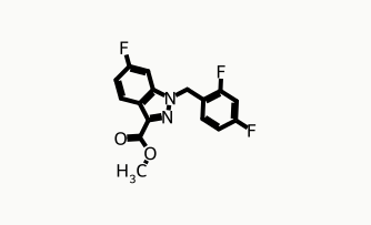 COC(=O)c1nn(Cc2ccc(F)cc2F)c2cc(F)ccc12